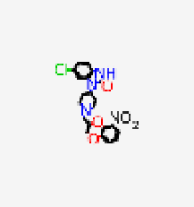 O=c1[nH]c2ccc(Cl)cc2n1C1CCN(CC2COc3cccc([N+](=O)[O-])c3O2)CC1